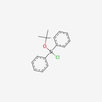 CC(C)(C)O[Si](Cl)(c1ccccc1)c1ccccc1